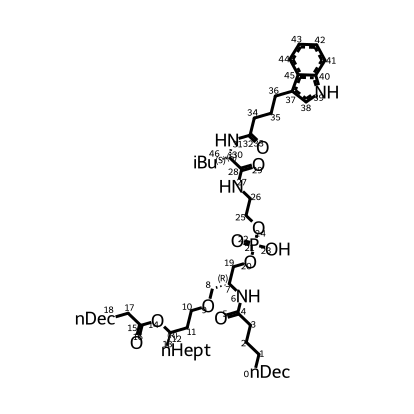 CCCCCCCCCCCCCC(=O)N[C@H](COCC[C@@H](CCCCCCC)OC(=O)CCCCCCCCCCC)COP(=O)(O)OCCNC(=O)[C@@H](NC(=O)CCCc1c[nH]c2ccccc12)[C@@H](C)CC